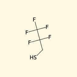 FC(F)(F)C(F)(F)CS